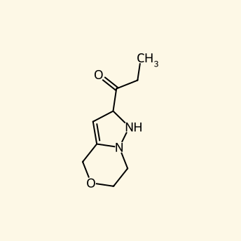 CCC(=O)C1C=C2COCCN2N1